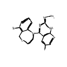 N/N=c1/nc(N2CCOCc3c(Br)cccc32)c2cc(F)cnc2[nH]1